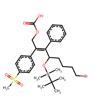 CC(C)(C)[Si](C)(C)OC(CCCCBr)C(=C(COC(=O)O)c1ccc(S(C)(=O)=O)cc1)c1ccccc1